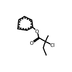 CCC(C)(Cl)C(=O)Oc1ccccc1